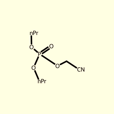 CCCOP(=O)(OCC#N)OCCC